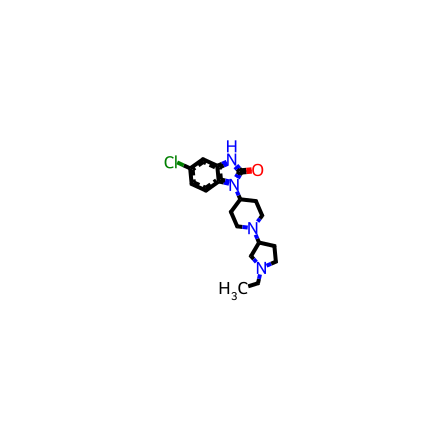 CCN1CCC(N2CCC(n3c(=O)[nH]c4cc(Cl)ccc43)CC2)C1